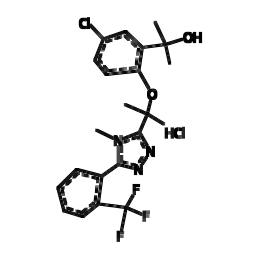 Cl.Cn1c(-c2ccccc2C(F)(F)F)nnc1C(C)(C)Oc1ccc(Cl)cc1C(C)(C)O